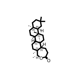 C[C@H]1OC(=O)CC[C@@H]2[C@]1(C)CC[C@H]1[C@@]2(C)CC[C@@]2(C)[C@@H]3CC(C)(C)CC[C@]3(C)CC[C@]12C